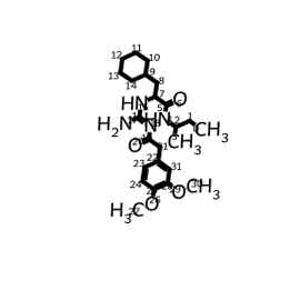 CCC(C)NC(=O)C(CC1CCCCC1)NC(N)=NC(=O)Cc1ccc(OC)c(OC)c1